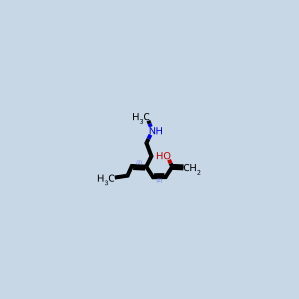 C=C(O)/C=C\C(=C/CC)CCNC